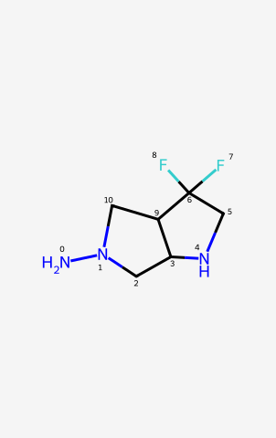 NN1CC2NCC(F)(F)C2C1